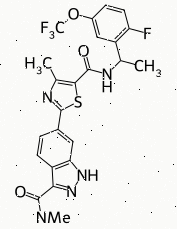 CNC(=O)c1n[nH]c2cc(-c3nc(C)c(C(=O)NC(C)c4cc(OC(F)(F)F)ccc4F)s3)ccc12